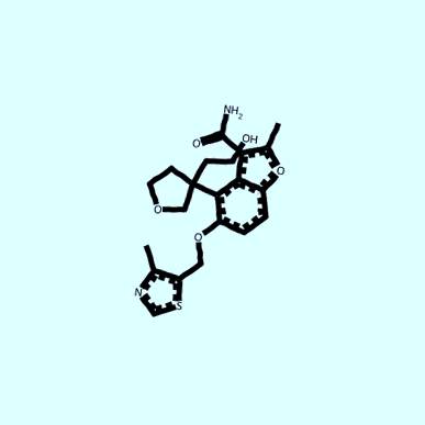 Cc1ncsc1COc1ccc2oc(C)c(C(N)=O)c2c1C1(CCO)CCOC1